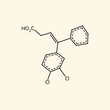 O=C(O)C/C=C(/c1ccccc1)c1ccc(Cl)c(Cl)c1